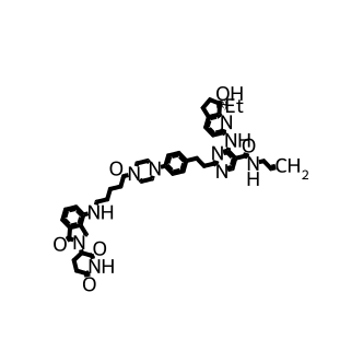 C=CCNC(=O)c1cnc(CCc2ccc(N3CCN(C(=O)CCCCNc4cccc5c4CN(C4CCC(=O)NC4=O)C5=O)CC3)cc2)nc1Nc1ccc2c(n1)[C@@](O)(CC)CC2